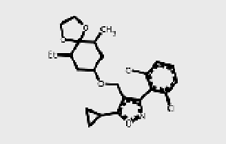 CCC1CC(OCc2c(-c3c(Cl)cccc3Cl)noc2C2CC2)CC(C)C12OCCO2